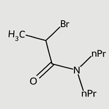 CCCN(CCC)C(=O)C(C)Br